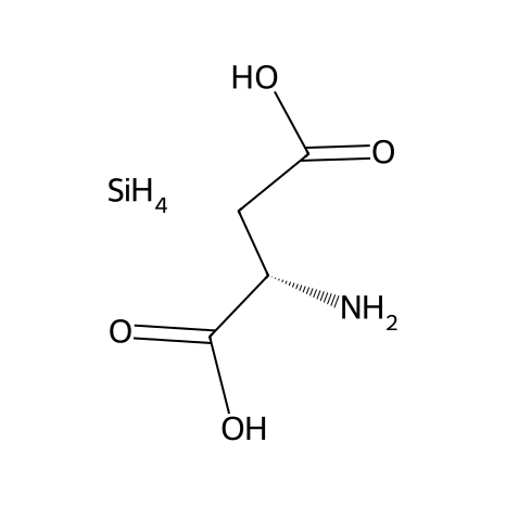 N[C@@H](CC(=O)O)C(=O)O.[SiH4]